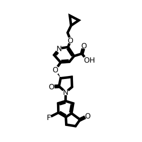 O=C(O)c1cc(O[C@@H]2CCN(c3cc(F)c4c(c3)C(=O)CC4)C2=O)cnc1OCC1CC1